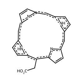 O=C(O)Cc1c2nc(cc3ccc(cc4nc(cc5ccc1[nH]5)C=C4)[nH]3)C=C2